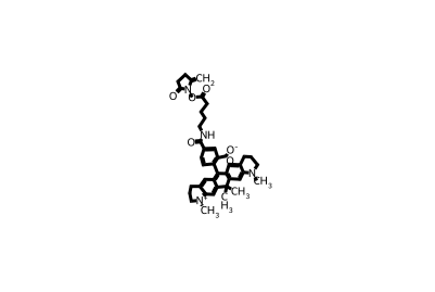 C=C1CCC(=O)N1OC(=O)CCCCNC(=O)c1ccc(C2=c3cc4c(cc3C(C)(C)c3cc5c(cc32)CCCN5C)=[N+](C)CCC4)c(C(=O)[O-])c1